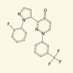 O=c1ccn(-c2cccc(C(F)(F)F)c2)nc1-c1ccnn1-c1ccccc1F